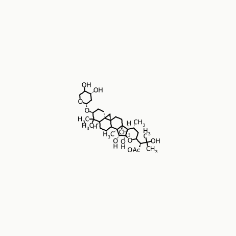 CC(=O)O[C@@H](C1C[C@@H](C)[C@H]2[C@@](O)(O1)[C@H](O)[C@@]1(C)C3CC[C@H]4C(C)(C)[C@@H](O[C@H]5C[C@@H](O)C(O)CO5)CC[C@@]45C[C@@]35CC[C@]21C)C(C)(C)O